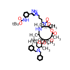 CC[C@H]1OC(=O)[C@H](C)C(=O)[C@H](C)[C@@H](O[C@@H]2OC(C)CC(N(Cc3ccccc3)Cc3ccccc3)C2C)[C@](C)(OC)C[C@@H](C)CN[C@H](C)[C@H]2N(CCCCn3cc(-c4cccc(NC(=O)OC(C)(C)C)c4)nn3)C(=O)O[C@]12C